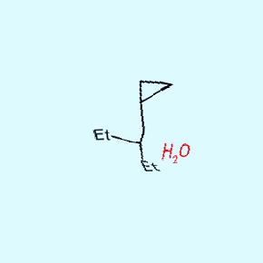 CCC(CC)C1CC1.O